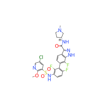 COc1ncc(Cl)cc1S(=O)(=O)Nc1ccc(F)c(-c2ccc3c(C(=O)N[C@@H]4CCN(C)C4)n[nH]c3c2F)c1F